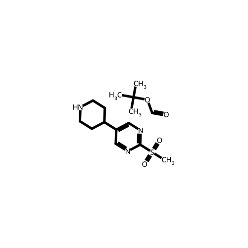 CC(C)(C)OC=O.CS(=O)(=O)c1ncc(C2CCNCC2)cn1